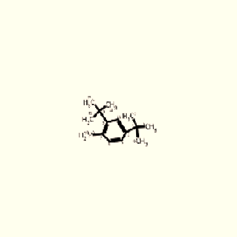 CC(C)(C)c1ccc([19PH2])c(C(C)(C)C)c1